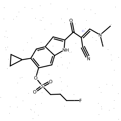 CN(C)/C=C(\C#N)C(=O)c1cc2cc(C3CC3)c(OS(=O)(=O)CCCF)cc2[nH]1